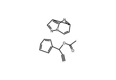 C#CC(OC(C)=O)c1ccccc1.c1cn2ncc3c2nc1-3